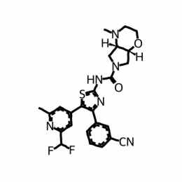 Cc1cc(-c2sc(NC(=O)N3C[C@H]4OCCN(C)[C@H]4C3)nc2-c2cccc(C#N)c2)cc(C(F)F)n1